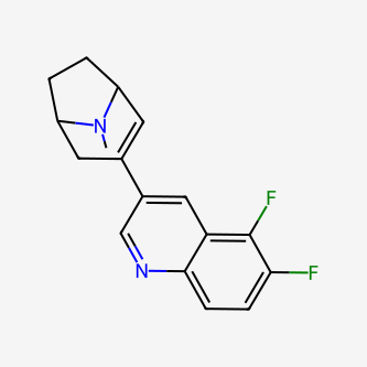 CN1C2C=C(c3cnc4ccc(F)c(F)c4c3)CC1CC2